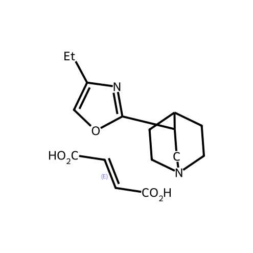 CCc1coc(C2CN3CCC2CC3)n1.O=C(O)/C=C/C(=O)O